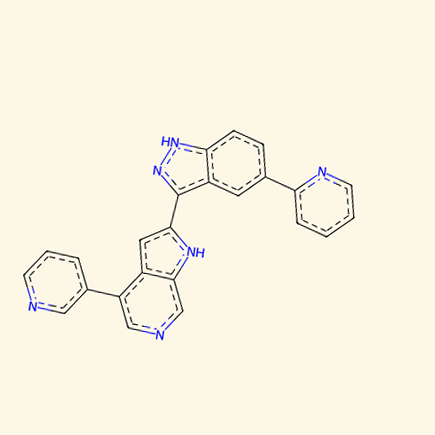 c1ccc(-c2ccc3[nH]nc(-c4cc5c(-c6cccnc6)cncc5[nH]4)c3c2)nc1